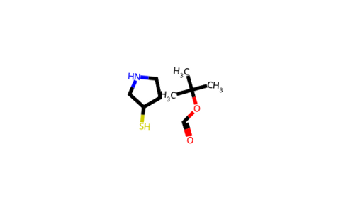 CC(C)(C)OC=O.SC1CCNC1